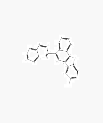 Clc1ccc2oc3c4ccccc4c(-c4ccc5ccccc5c4)cc3c2c1